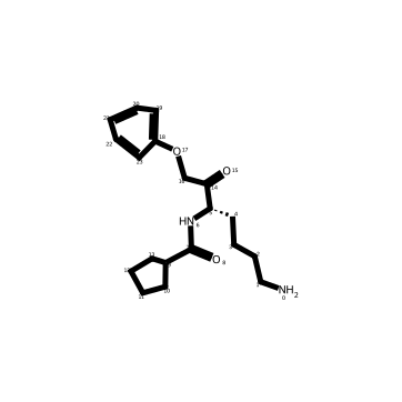 NCCCC[C@H](NC(=O)C1CCCC1)C(=O)COc1ccccc1